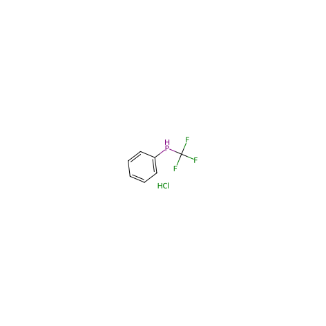 Cl.FC(F)(F)Pc1ccccc1